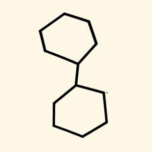 [CH]1CCCCC1C1CCCCC1